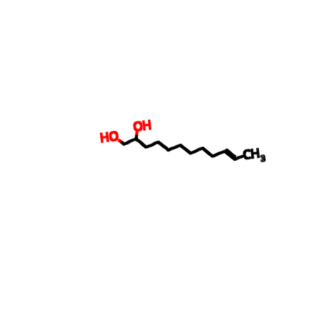 CC=CCCCCCCCC(O)CO